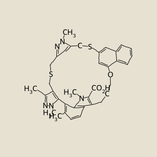 Cc1ccc2c3c(C(=O)O)n(C)c2c1-c1c(c(C)nn1C)CSCc1cc(n(C)n1)CSc1cc(c2ccccc2c1)OCCC3